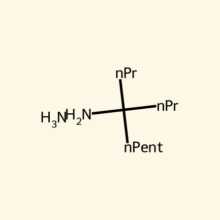 CCCCCC(N)(CCC)CCC.N